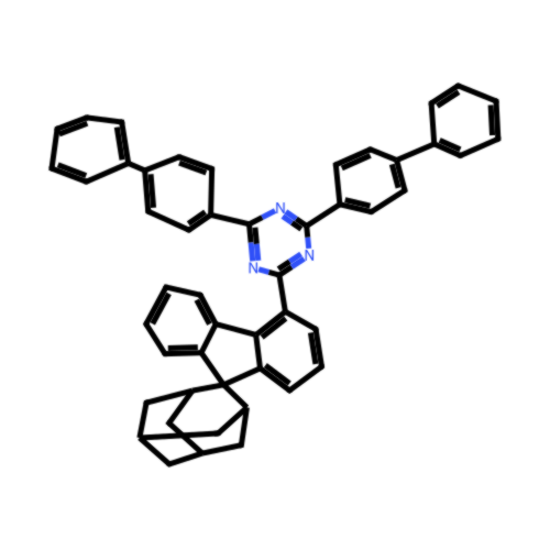 c1ccc(-c2ccc(-c3nc(-c4ccc(-c5ccccc5)cc4)nc(-c4cccc5c4-c4ccccc4C54C5CC6CC(C5)CC4C6)n3)cc2)cc1